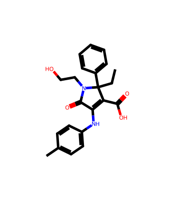 CCC1(c2ccccc2)C(C(=O)O)=C(Nc2ccc(C)cc2)C(=O)N1CCO